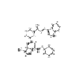 O=C(/C=C/c1c[nH]c2ccccc12)N1CCCC(c2cc(NCc3cccnc3)n3ncc(Br)c3n2)C1